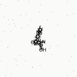 Cc1ccc2oc(N3CC=C(c4cc(=O)n(C)c5cc(OCCO)c(C#N)nc45)CC3)nc2c1